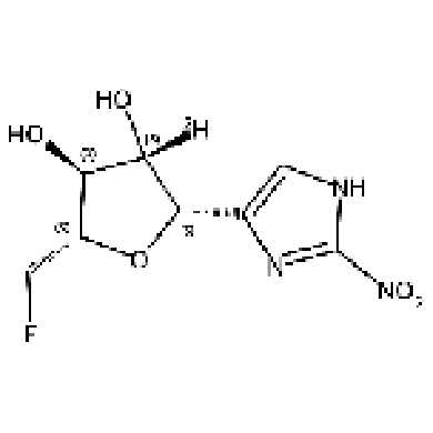 [2H][C@]1(O)[C@H](O)[C@@H](CF)O[C@H]1c1c[nH]c([N+](=O)[O-])n1